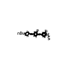 CCCCC1CCC(C#Cc2ccc(C#Cc3ccc(N=C=S)c(F)c3)c(F)c2)CC1